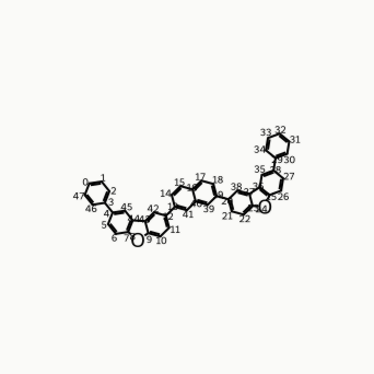 c1ccc(-c2ccc3oc4ccc(-c5ccc6ccc(-c7ccc8oc9ccc(-c%10ccccc%10)cc9c8c7)cc6c5)cc4c3c2)cc1